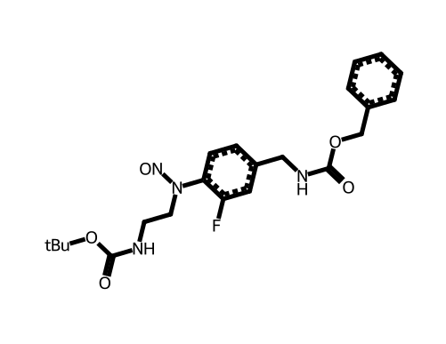 CC(C)(C)OC(=O)NCCN(N=O)c1ccc(CNC(=O)OCc2ccccc2)cc1F